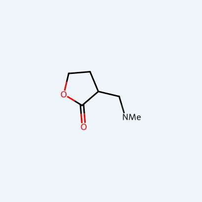 CNCC1CCOC1=O